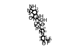 Nc1nsc2c1ccc1[nH]c(C(O)[C@H]3OCCN(c4ccn(-c5ccc(=O)n(C(F)F)c5)n4)C3=O)nc(=O)c12